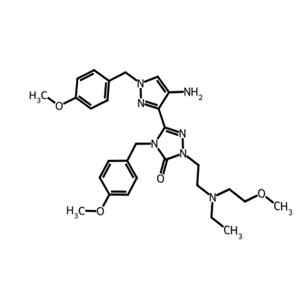 CCN(CCOC)CCn1nc(-c2nn(Cc3ccc(OC)cc3)cc2N)n(Cc2ccc(OC)cc2)c1=O